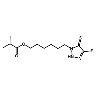 CC(C)C(=O)OCCCCCCn1[nH]nc(F)c1=S